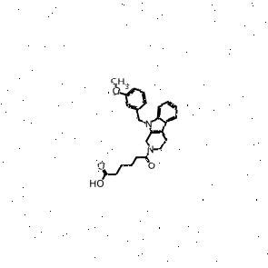 COc1cccc(Cn2c3c(c4ccccc42)CCN(C(=O)CCCCC(=O)O)C3)c1